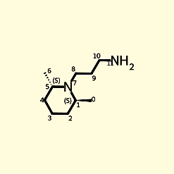 C[C@H]1CCC[C@H](C)N1CCCN